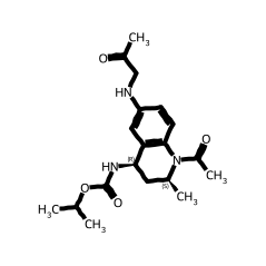 CC(=O)CNc1ccc2c(c1)[C@H](NC(=O)OC(C)C)C[C@H](C)N2C(C)=O